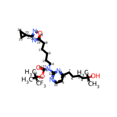 CC(C)(O)CCCCc1ccnc(N(CCCCCc2nc(C3CC3)no2)C(=O)OC(C)(C)C(F)(F)F)n1